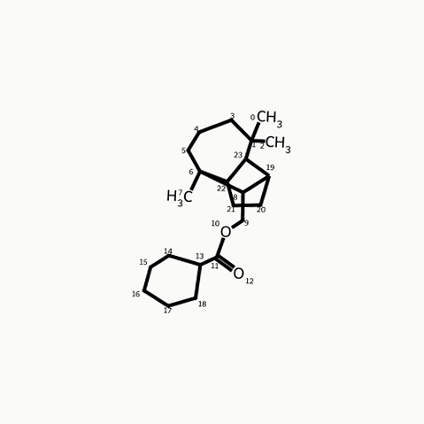 CC1(C)CCCC2(C)C(COC(=O)C3CCCCC3)C3CCC2C31